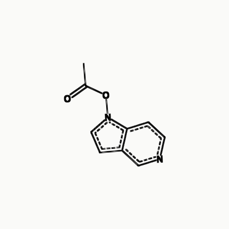 CC(=O)On1ccc2cnccc21